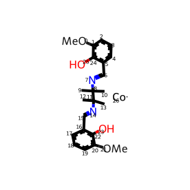 COc1cccc(C=NC(C)(C)C(C)(C)N=Cc2cccc(OC)c2O)c1O.[Co]